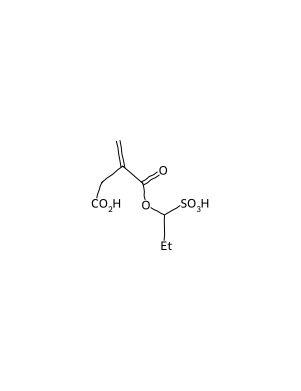 C=C(CC(=O)O)C(=O)OC(CC)S(=O)(=O)O